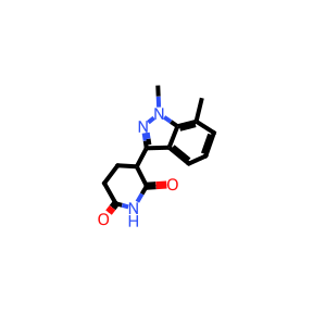 Cc1cccc2c(C3CCC(=O)NC3=O)nn(C)c12